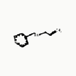 C=CCNCc1ccncc1